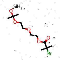 CC(C)(O[SiH3])OCCOCCOC(=O)C(C)(C)Br